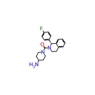 NC1CCN(C(=O)N2CCc3ccccc3[C@@H]2c2ccc(F)cc2)CC1